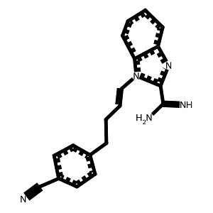 N#Cc1ccc(CC/C=C/n2c(C(=N)N)nc3ccccc32)cc1